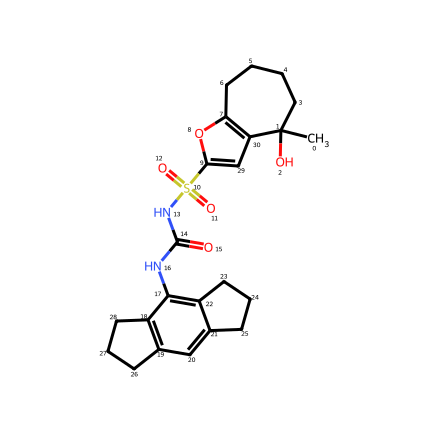 CC1(O)CCCCc2oc(S(=O)(=O)NC(=O)Nc3c4c(cc5c3CCC5)CCC4)cc21